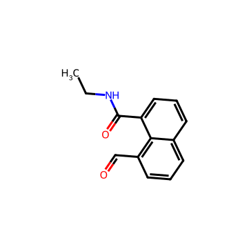 CCNC(=O)c1cccc2cccc(C=O)c12